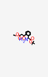 CCOC(=O)CC(=O)c1ccccc1C(N)C(=O)OC(C)(C)C